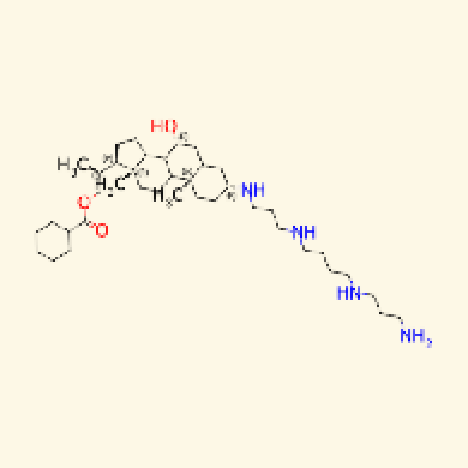 C[C@H](COC(=O)C1CCCCC1)[C@H]1CCC2C3C(CC[C@@]21C)[C@@]1(C)CC[C@@H](NCCCNCCCCNCCCN)CC1C[C@H]3O